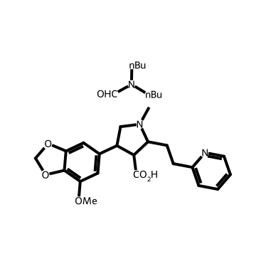 CCCCN(C=O)CCCC.COc1cc(C2CN(C)C(CCc3ccccn3)C2C(=O)O)cc2c1OCO2